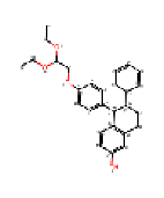 CCOC(COc1ccc([C@@H]2c3ccc(O)cc3CC[C@@H]2C2C=CC=CC2)cc1)OCC